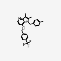 Cc1ccc(Cn2c(C)c(C)c3nccc(OCc4ccc(C(F)(F)F)cc4)c32)cc1